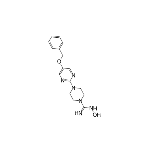 N=C(NO)N1CCN(c2ncc(OCc3ccccc3)cn2)CC1